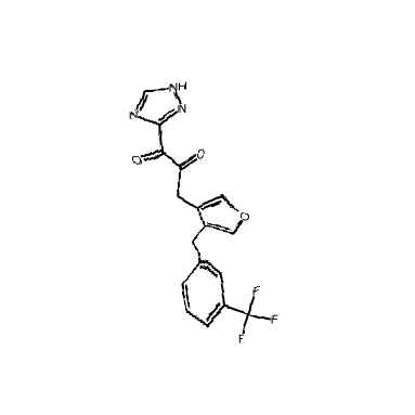 O=C(Cc1cocc1Cc1cccc(C(F)(F)F)c1)C(=O)c1nc[nH]n1